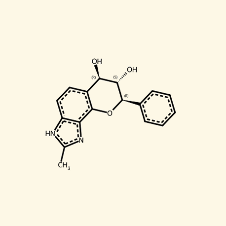 Cc1nc2c3c(ccc2[nH]1)[C@@H](O)[C@H](O)[C@@H](c1ccccc1)O3